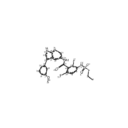 CCCS(=O)(=O)Nc1ccc(F)c(C(=O)Nc2cnc3[nH]cc(-c4cccc(OC)c4)c3c2)c1F